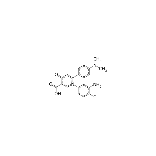 CN(C)c1ccc(-c2cc(=O)c(C(=O)O)cn2-c2ccc(F)c(N)c2)cc1